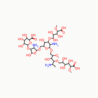 COC(COC1OC(COC2OC(O)C(OC3OC(C(=O)O)C(O)C(O)C3O)C2N)C(O)C(OC(O)C(O)C(O)C(OC)C(=O)O)C1N)C(O)C(OCC(O)C(O)C(O)C(OC)C(=O)O)C(C)N